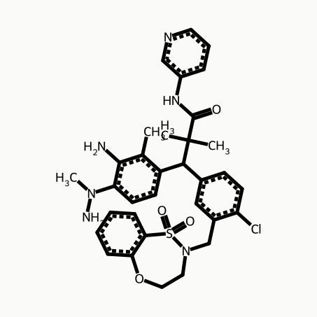 Cc1c(C(c2ccc(Cl)c(CN3CCOc4ccccc4S3(=O)=O)c2)C(C)(C)C(=O)Nc2cccnc2)ccc(N(C)N)c1N